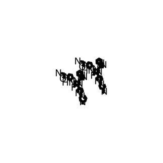 CN(C)C1CCN(c2ccc(-c3nc(-c4cnn5ccccc45)nc(N[C@@H]4CCCN(C(=O)CC#N)C4)c3F)cn2)CC1.CN1CCCN(c2ccc(-c3nc(-c4cnn5ccccc45)nc(N[C@@H]4CCCN(C(=O)CC#N)C4)c3F)cn2)CC1